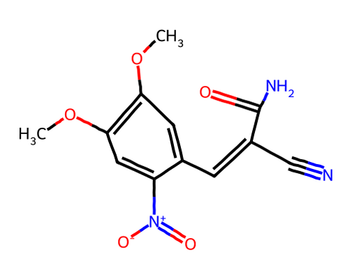 COc1cc(C=C(C#N)C(N)=O)c([N+](=O)[O-])cc1OC